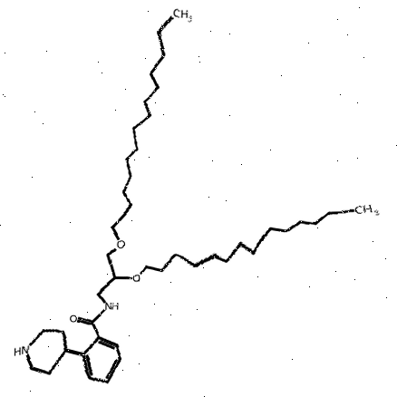 CCCCCCCCCCCCCCOCC(CNC(=O)c1ccccc1C1CCNCC1)OCCCCCCCCCCCCCC